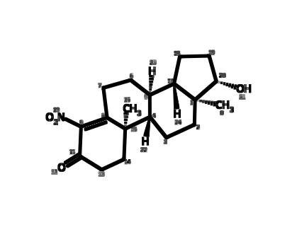 C[C@]12CC[C@H]3[C@@H](CCC4=C([N+](=O)[O-])C(=O)CC[C@@]43C)[C@@H]1CC[C@@H]2O